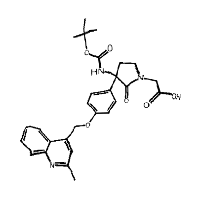 Cc1cc(COc2ccc(C3(NC(=O)OC(C)(C)C)CCN(CC(=O)O)C3=O)cc2)c2ccccc2n1